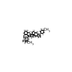 Cc1ccc(-n2ncc3c2C=C2CC[C@@](O)(CCc4cccc(F)c4C(=O)NCC(C)C(F)(F)F)[C@@]2(C)C3)cc1